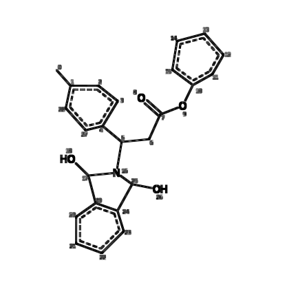 Cc1ccc(C(CC(=O)Oc2ccccc2)N2C(O)c3ccccc3C2O)cc1